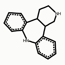 c1ccc2c(c1)Nc1ccccc1C1CNCCC21